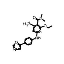 CCOc1nc(Nc2ccc(-c3cnco3)cc2)cc(N)c1C(=O)N(C)C